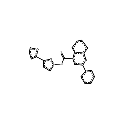 O=C(Nn1ccc(-c2ccco2)n1)c1cc(-c2ccccc2)nc2ccccc12